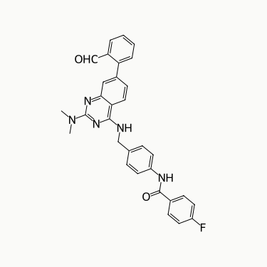 CN(C)c1nc(NCc2ccc(NC(=O)c3ccc(F)cc3)cc2)c2ccc(-c3ccccc3C=O)cc2n1